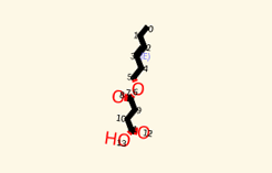 CC/C=C/CCOC(=O)CCC(=O)O